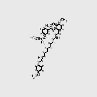 COc1ccc(CCNCCCCCCCCNCCc2ccc(OC)c(OC)c2CCc2cccc(OC)c2)cc1.Cl.Cl